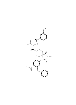 CCc1ccc(F)c(C(=O)NC(C(=O)N2CCC3(CC2)C(=O)N(C)C(C)N3c2ccc(C(=O)O)c(Cc3ccccc3)c2)C(C)C)c1